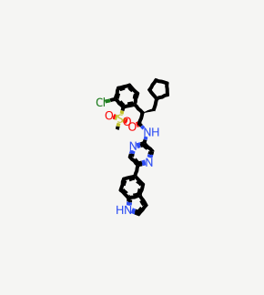 CS(=O)(=O)c1c(Cl)cccc1[C@@H](CC1CCCC1)C(=O)Nc1cnc(-c2ccc3[nH]ccc3c2)cn1